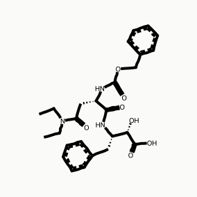 CCN(CC)C(=O)C[C@H](NC(=O)OCc1ccccc1)C(=O)N[C@@H](Cc1ccccc1)[C@H](O)C(=O)O